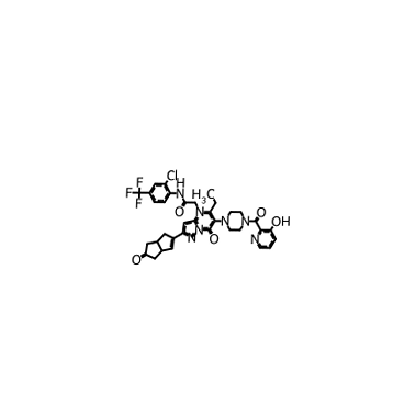 CCc1c(N2CCN(C(=O)c3ncccc3O)CC2)c(=O)n2nc(C3=CC4CC(=O)CC4C3)cc2n1CC(=O)Nc1ccc(C(F)(F)F)cc1Cl